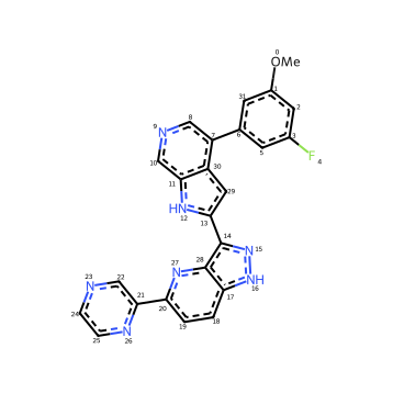 COc1cc(F)cc(-c2cncc3[nH]c(-c4n[nH]c5ccc(-c6cnccn6)nc45)cc23)c1